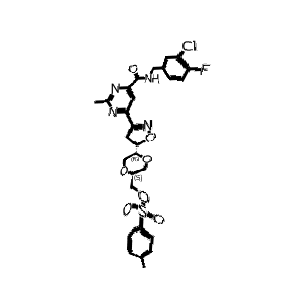 Cc1ccc(S(=O)(=O)OC[C@@H]2CO[C@@H](C3CC(c4cc(C(=O)NCc5ccc(F)c(Cl)c5)nc(C)n4)=NO3)CO2)cc1